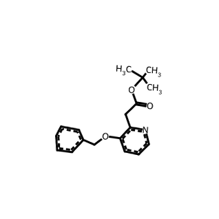 CC(C)(C)OC(=O)Cc1ncccc1OCc1ccccc1